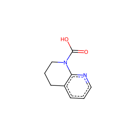 O=C(O)N1CCCc2cccnc21